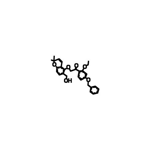 CCOc1cc(OCc2ccccc2)ccc1C(=O)COc1c(CO)ccc2c1C=CC(C)(C)O2